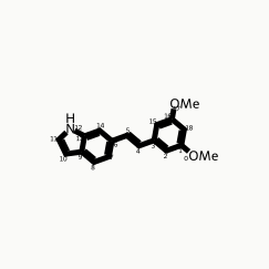 COc1cc(C=Cc2ccc3cc[nH]c3c2)cc(OC)c1